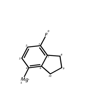 Fc1cc[c]([Mg])c2c1CCC2